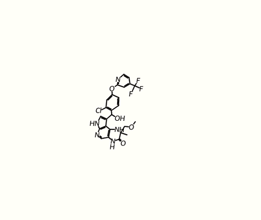 COCC1(C)Nc2c(cnc3[nH]cc(C(O)c4ccc(Oc5cc(C(F)(F)F)ccn5)cc4Cl)c23)NC1=O